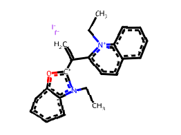 C=C(c1ccc2ccccc2[n+]1CC)[c+]1oc2ccccc2n1CC.[I-].[I-]